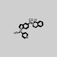 CCCN(c1ccncc1)n1ccc2cc(N(C(=O)O)N3CCc4ccccc4C3)ccc21